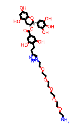 NCCOCCOCCOCCOCCOCCn1cc(CCc2c(O)cc(C(=O)O[C@@H]3Cc4c(O)cc(O)cc4O[C@@H]3c3cc(O)c(O)c(O)c3)cc2O)nn1